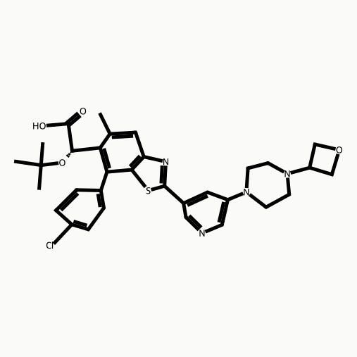 Cc1cc2nc(-c3cncc(N4CCN(C5COC5)CC4)c3)sc2c(-c2ccc(Cl)cc2)c1[C@H](OC(C)(C)C)C(=O)O